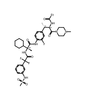 CCC(=O)N[C@@H](C(=O)N1CCN(C)CC1)[C@@H](C)c1ccc(NC(=O)[C@](C)(NC(=O)C(F)(F)c2cccc(NS(C)(=O)=O)c2)C2CCCCC2)c(F)c1